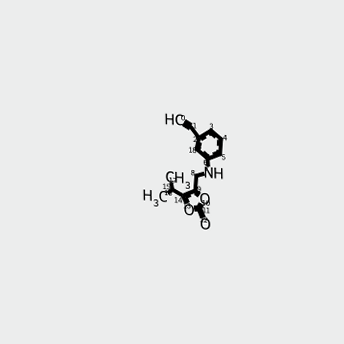 C#Cc1cccc(NCc2oc(=O)oc2C(C)C)c1